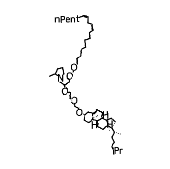 CCCCC/C=C\C/C=C\CCCCCCCCOCOCC(CN1CCCC1C)OCCOCCO[C@H]1CC[C@@]2(C)C(=CC[C@H]3[C@@H]4CC[C@H]([C@H](C)CCCC(C)C)[C@@]4(C)CC[C@@H]32)C1